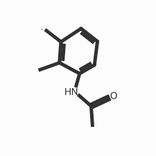 [CH2]c1cccc(NC(C)=O)c1C